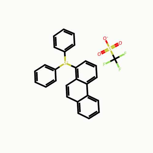 O=S(=O)([O-])C(F)(F)F.c1ccc([S+](c2ccccc2)c2cccc3c2ccc2ccccc23)cc1